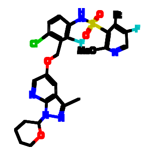 CCc1c(F)cnc(OC)c1S(=O)(=O)Nc1ccc(Cl)c(COc2cnc3c(c2)c(C)nn3C2CCCCO2)c1F